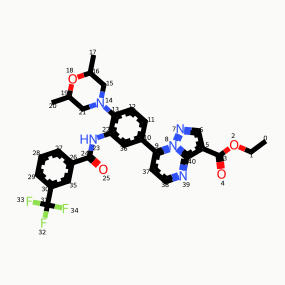 CCOC(=O)c1cnn2c(-c3ccc(N4CC(C)OC(C)C4)c(NC(=O)c4cccc(C(F)(F)F)c4)c3)ccnc12